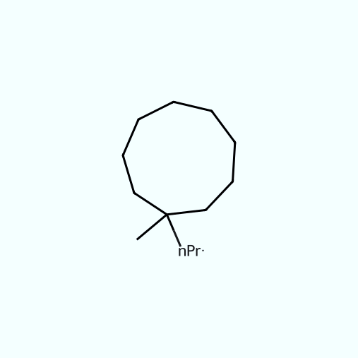 CC[CH]C1(C)CCCCCCCC1